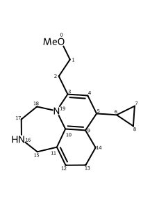 COCCC1=CC(C2CC2)C2=C3C(=CCC2)CNCCN13